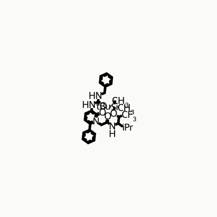 CC(C)C(NC(=O)Cn1c(-c2ccccc2)ccc(NC(=O)NCc2ccccc2)c1=O)C(O[Si](C)(C)C(C)(C)C)C(F)(F)F